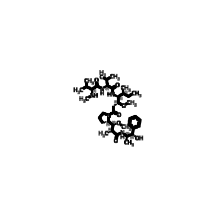 CC[C@H](C)[C@H](NC(=O)[C@@H](NC(=O)[C@@H](NC)C(C)C)C(C)C)[C@@H](CC(=O)N1CCC[C@H]1[C@H](OC)[C@@H](C)C(=O)N[C@H](C)[C@@H](O)c1ccccc1)OC